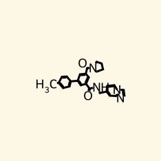 Cc1ccc(-c2cc(C(=O)NCc3ccn4ccnc4c3)cc(C(=O)N3CCCC3)c2)cc1